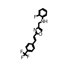 Fc1ccccc1NCc1coc(/C=C/c2ccc(C(F)(F)F)cc2)n1